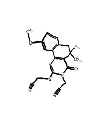 COc1ccc2c(c1)-c1nc(SCC#N)n(CC#N)c(=O)c1C(C)(C)C2